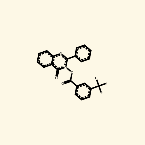 O=C(On1c(-c2ccccc2)nc2ccccc2c1=O)c1cccc(C(F)(F)F)c1